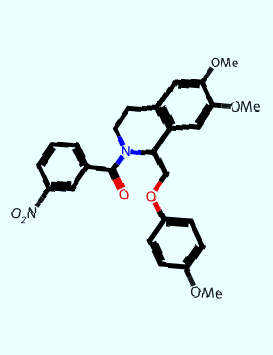 COc1ccc(OCC2c3cc(OC)c(OC)cc3CCN2C(=O)c2cccc([N+](=O)[O-])c2)cc1